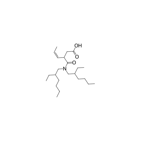 C/C=C\C(CC(=O)O)C(=O)N(CC(CC)CCCC)CC(CC)CCCC